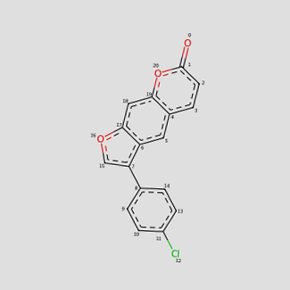 O=c1ccc2cc3c(-c4ccc(Cl)cc4)coc3cc2o1